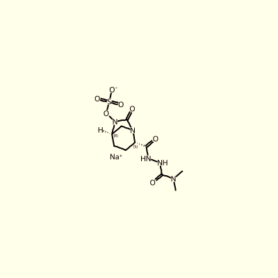 CN(C)C(=O)NNC(=O)[C@@H]1CC[C@@H]2CN1C(=O)N2OS(=O)(=O)[O-].[Na+]